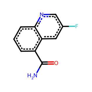 NC(=O)c1cccc2ncc(F)cc12